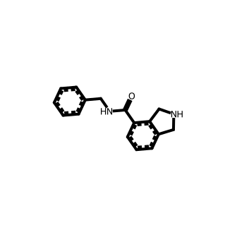 O=C(NCc1ccccc1)c1cccc2c1CNC2